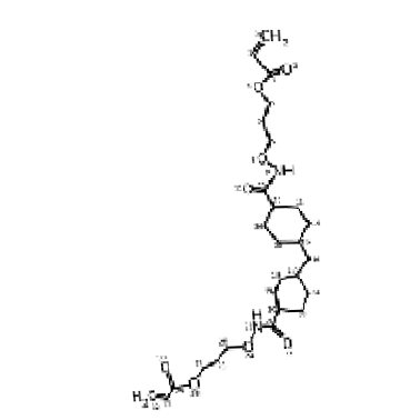 C=CC(=O)OCCCONC(=O)C1CCC(CC2CCC(C(=O)NOCCCOC(=O)C=C)CC2)CC1